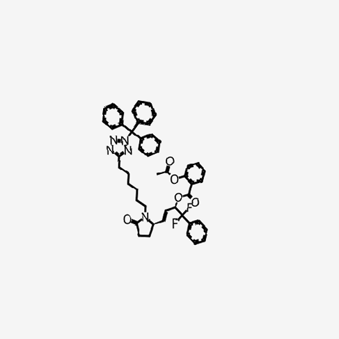 CC(=O)Oc1ccccc1C(=O)O[C@H](/C=C/[C@H]1CCC(=O)N1CCCCCCc1nnn(C(c2ccccc2)(c2ccccc2)c2ccccc2)n1)C(F)(F)c1ccccc1